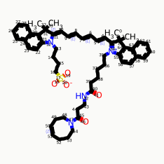 CC1(C)C(/C=C/C=C/C=C/C=C2\N(CCCCS(=O)(=O)[O-])c3ccc4ccccc4c3C2(C)C)=[N+](CCCCCC(=O)NCCC(=O)N2CC/C=C\CCC2)c2ccc3ccccc3c21